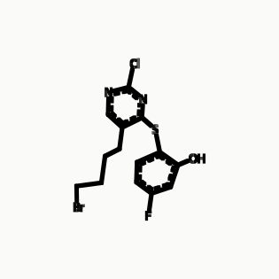 Oc1cc(F)ccc1Sc1nc(Cl)ncc1CCCCBr